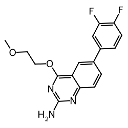 COCCOc1nc(N)nc2ccc(-c3ccc(F)c(F)c3)cc12